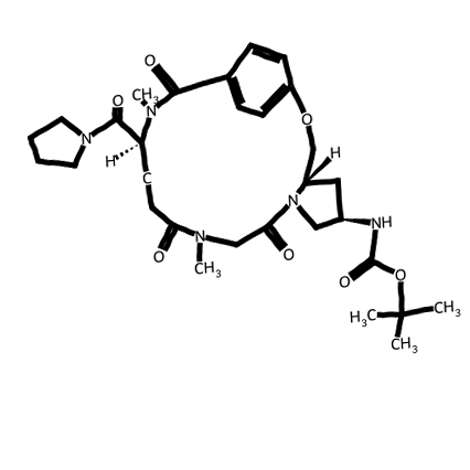 CN1CC(=O)N2C[C@H](NC(=O)OC(C)(C)C)C[C@H]2COc2ccc(cc2)C(=O)N(C)[C@H](C(=O)N2CCCC2)CCC1=O